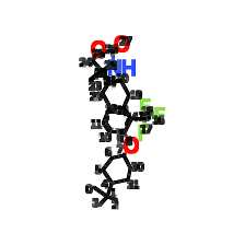 CC(C)(C)C1CCC(Oc2ccc3c(c2C(F)(F)F)CC[C@H]([C@]2(C)COC(=O)N2)C3)CC1